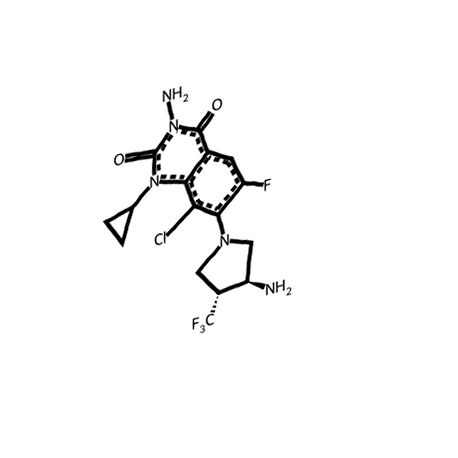 N[C@@H]1CN(c2c(F)cc3c(=O)n(N)c(=O)n(C4CC4)c3c2Cl)C[C@H]1C(F)(F)F